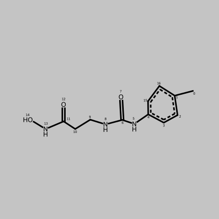 Cc1ccc(NC(=O)NCCC(=O)NO)cc1